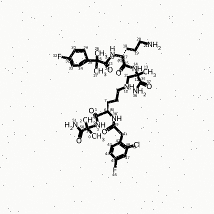 CC(C)(NC(=O)[C@@H](CCCNCC(C)(NC(=O)[C@@H](CCCN)NC(=O)C(C)(C)c1ccc(F)cc1)C(N)=O)NC(=O)Cc1ccc(F)cc1Cl)C(N)=O